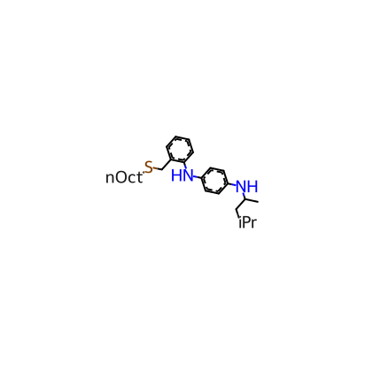 CCCCCCCCSCc1ccccc1Nc1ccc(NC(C)CC(C)C)cc1